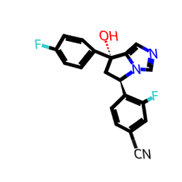 N#Cc1ccc([C@H]2C[C@@](O)(c3ccc(F)cc3)c3cncn32)c(F)c1